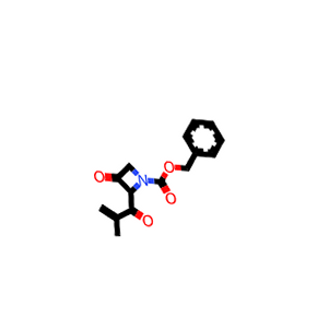 C=C(C)C(=O)C1C(=O)CN1C(=O)OCc1ccccc1